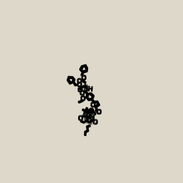 CCCCC[C@@H](C(=O)NCNC(=O)c1ccc(-c2ccc(C(=O)N[C@@H](CC(=O)OCc3ccccc3)C(=O)OCc3ccccc3)c(OCC)c2)o1)[C@@H](CC)N(C=O)OC(=O)C(C)(C)C